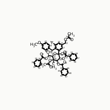 COc1ccc(Cc2c(F)cc(COC(C)=O)cc2[C@@]2(O)O[C@H]([C@H](C)OC(=O)c3ccccc3)[C@@](C)(OC(C)=O)[C@H](OC(=O)c3ccccc3)[C@H]2OC(=O)c2ccccc2)cc1